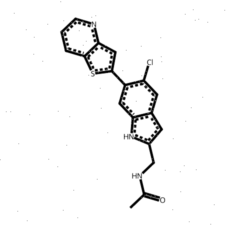 CC(=O)NCc1cc2cc(Cl)c(-c3cc4ncccc4s3)cc2[nH]1